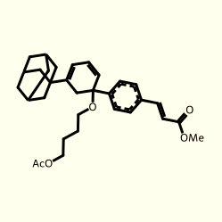 COC(=O)C=Cc1ccc(C2(OCCCCOC(C)=O)C=CC=C(C34CC5CC(CC(C5)C3)C4)C2)cc1